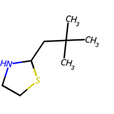 CC(C)(C)CC1NCCS1